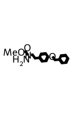 COC(=O)N(N)CCc1ccc(OCc2ccccc2)cc1